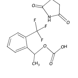 CC(OC(=O)O)c1ccccc1C(F)(F)F.O=C1CCC(=O)N1